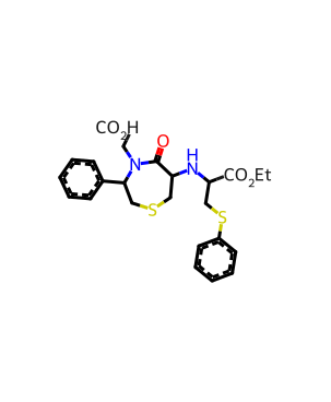 CCOC(=O)C(CSc1ccccc1)NC1CSCC(c2ccccc2)N(CC(=O)O)C1=O